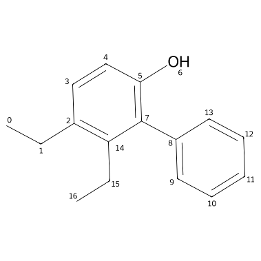 CCc1ccc(O)c(-c2ccccc2)c1CC